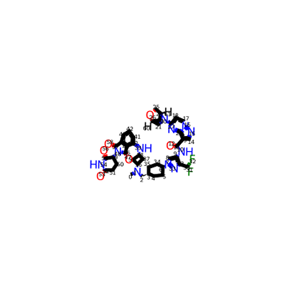 CN(C[C@H]1CC[C@H](n2cc(NC(=O)c3cnn4ccc(N5C[C@H]6C[C@@H]5CO6)nc34)c(C(F)F)n2)CC1)[C@H]1C[C@H](Nc2cccc3c2C(=O)N(C2CCC(=O)NC2=O)C3=O)C1